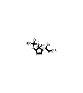 CC1(C)OC2C=C[C@@H](C(O)CN)[C@H]2O1